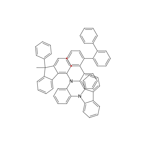 CC1(c2ccccc2)c2ccccc2-c2c(N(c3ccccc3-c3ccccc3-c3ccccc3-c3ccccc3)c3ccccc3-n3c4ccccc4c4ccccc43)cccc21